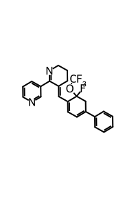 FC(F)(F)OC1(F)CC(c2ccccc2)=CC=C1C=C1CCCN=C1c1cccnc1